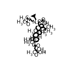 CC(=O)O[C@@H](CN(CCN(C)C(C)=O)CC1CC1)[C@@]12CC[C@]3(C)[C@H](CC[C@@H]4[C@@]5(C)CC[C@H](OC(=O)CC(C)(C)C(=O)O)C(C)(C)[C@@H]5CC[C@]43C)C1=C(C(C)C)C(=O)C2